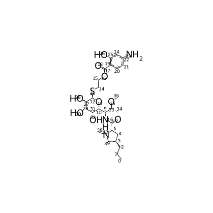 CCC[C@@H]1C[C@@H](C(=O)N[C@@H]([C@H]2O[C@H](SCCOC(=O)c3ccc(N)cc3O)[C@H](O)[C@@H](O)[C@H]2O)[C@@H](C)OC)N(C)C1